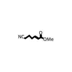 COC(=O)/C=C/CCCC#N